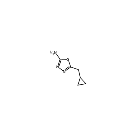 Nc1nnc(CC2CC2)s1